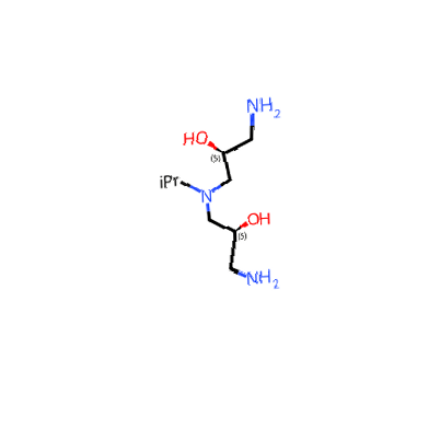 CC(C)N(C[C@@H](O)CN)C[C@@H](O)CN